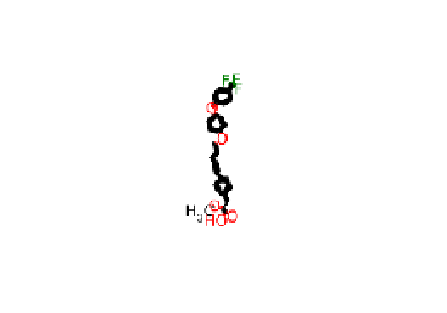 CO[C@@H](Cc1ccc(C#CCCCOc2ccc(Oc3ccc(C(F)(F)F)cc3)cc2)cc1)C(=O)O